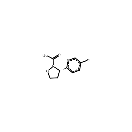 CC(C)(C)C(=O)N1OCC[C@H]1c1ccc(Cl)cn1